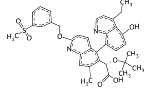 CCc1ccnc2c(-c3c([C@H](OC(C)(C)C)C(=O)O)c(C)cc4nc(OCc5cccc(S(C)(=O)=O)c5)ccc34)ccc(O)c12